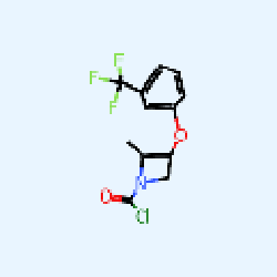 CC1C(Oc2cccc(C(F)(F)F)c2)CN1C(=O)Cl